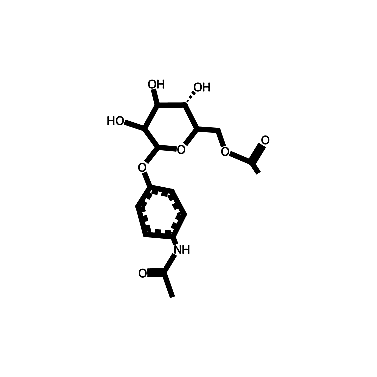 CC(=O)Nc1ccc(OC2OC(COC(C)=O)[C@@H](O)C(O)C2O)cc1